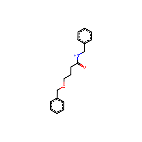 O=C(CCCOCc1ccccc1)NCc1ccccc1